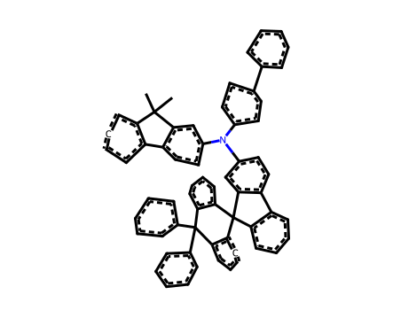 CC1(C)c2ccccc2-c2ccc(N(c3ccc(-c4ccccc4)cc3)c3ccc4c(c3)C3(c5ccccc5-4)c4ccccc4C(c4ccccc4)(c4ccccc4)c4ccccc43)cc21